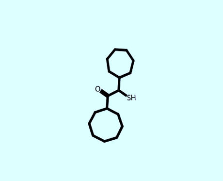 O=C(C1CCCCCCC1)C(S)C1CCCCCC1